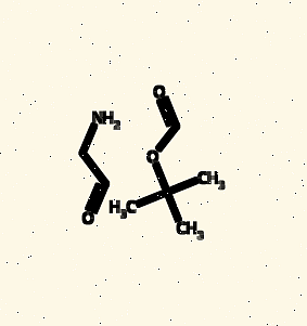 CC(C)(C)OC=O.NCC=O